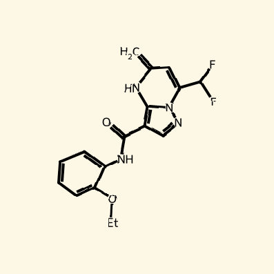 C=C1C=C(C(F)F)n2ncc(C(=O)Nc3ccccc3OCC)c2N1